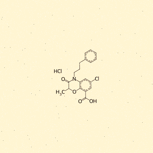 CC1Oc2c(C(=O)O)cc(Cl)cc2N(CCCc2ccccc2)C1=O.Cl